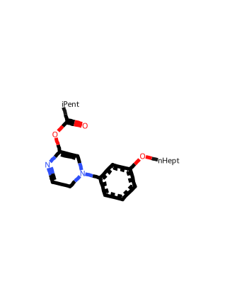 CCCCCCCOc1cccc(N2C=C(OC(=O)C(C)CCC)N=CC2)c1